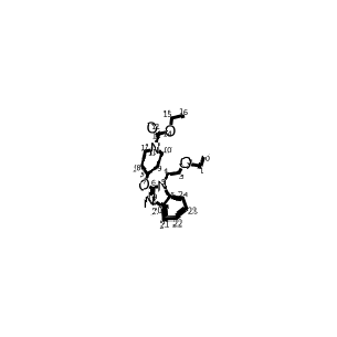 CCOCCn1c(OC2CCN(C(=O)OCC)CC2)nc2ccccc21